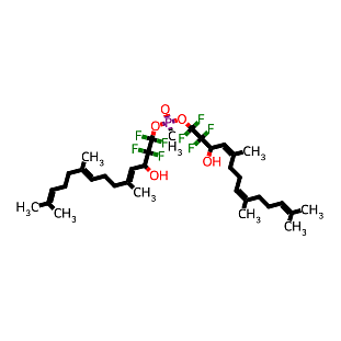 CC(C)=CCCC(C)=CCCC(C)=CC(O)C(F)(F)C(F)(F)OP(C)(=O)OC(F)(F)C(F)(F)C(O)C=C(C)CCC=C(C)CCC=C(C)C